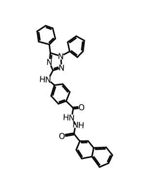 O=C(NNC(=O)c1ccc2ccccc2c1)c1ccc(Nc2nc(-c3ccccc3)n(-c3ccccc3)n2)cc1